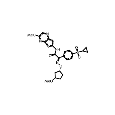 COc1cnc2nc(NC(=O)/C(=N/O[C@@H]3CC[C@@H](OC)C3)c3ccc(S(=O)(=O)C4CC4)cc3)sc2n1